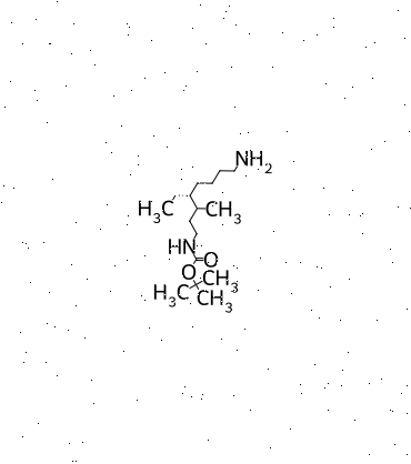 CC[C@H](CCCCN)C(C)CCNC(=O)OC(C)(C)C